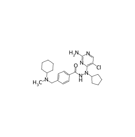 CN(Cc1ccc(C(=O)NN(c2nc(N)ncc2Cl)C2CCCC2)cc1)C1CCCCC1